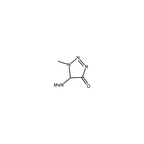 CNC1C(=O)N=NN1C